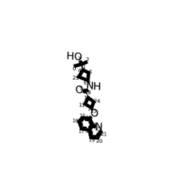 CC(C)(O)[C@H]1C[C@H](NC(=O)[C@H]2C[C@H](Oc3cccc4cccnc34)C2)C1